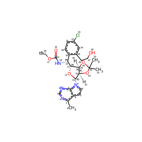 Cc1ncnc2c1ccn2[C@@H]1O[C@H]([C@H](NC(=O)OC(C)(C)C)c2ccc(Cl)cc2CCO)[C@H]2OC(C)(C)O[C@H]21